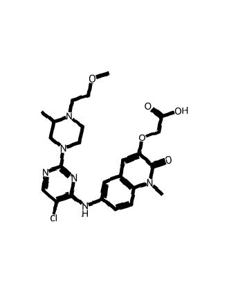 COCCN1CCN(c2ncc(Cl)c(Nc3ccc4c(c3)cc(OCC(=O)O)c(=O)n4C)n2)CC1C